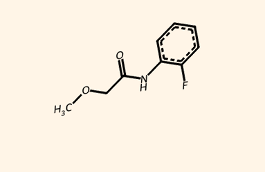 COCC(=O)Nc1ccccc1F